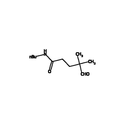 CCCCNC(=O)CCC(C)(C)C=O